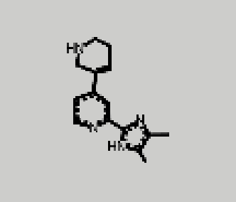 Cc1nc(-c2cc(C3=CCCNC3)ccn2)[nH]c1C